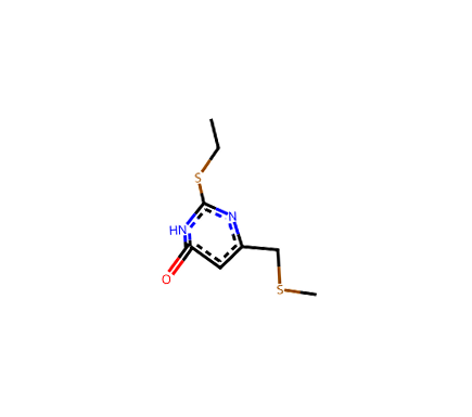 CCSc1nc(CSC)cc(=O)[nH]1